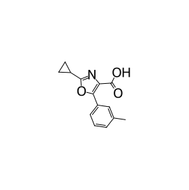 Cc1cccc(-c2oc(C3CC3)nc2C(=O)O)c1